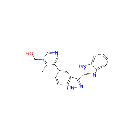 Cc1c(CO)cncc1-c1ccc2[nH]nc(-c3nc4ccccc4[nH]3)c2c1